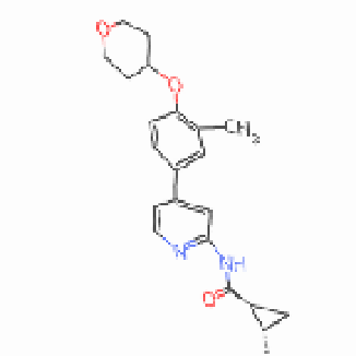 Cc1cc(-c2ccnc(NC(=O)[C@H]3C[C@@H]3C(F)F)c2)ccc1OC1CCOCC1